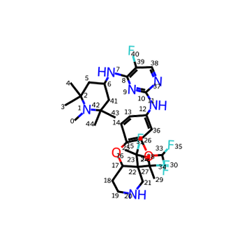 CN1C(C)(C)CC(Nc2nc(Nc3ccc(OC4CCNCC4(C(C)(C)F)C(C)(C)F)c(OC(F)F)c3)ncc2F)CC1(C)C